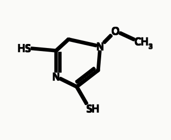 CON1C=C(S)N=C(S)C1